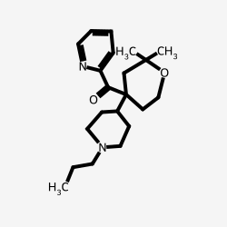 CCCN1CCC(C2(C(=O)c3ccccn3)CCOC(C)(C)C2)CC1